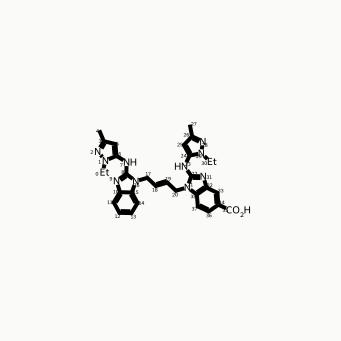 CCn1nc(C)cc1Nc1nc2ccccc2n1C/C=C/Cn1c(Nc2cc(C)nn2CC)nc2cc(C(=O)O)ccc21